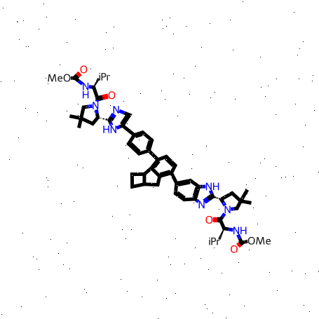 COC(=O)N[C@H](C(=O)N1CC(C)(C)C[C@H]1c1ncc(-c2ccc(-c3ccc(-c4ccc5nc([C@@H]6CC(C)(C)CN6C(=O)[C@@H](NC(=O)OC)C(C)C)[nH]c5c4)c4c3C3CCC3C4)cc2)[nH]1)C(C)C